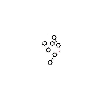 CCc1cccc(N(c2ccccc2)c2ccc(C(C)(c3ccc(OC)cc3)c3ccc(OC(=O)Oc4ccc(C(C)(CC)c5ccc(OC(C)=O)c(C)c5)cc4C)cc3)cc2)c1